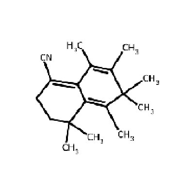 CC1=C(C)C(C)(C)C(C)=C2C1=C(C#N)CCC2(C)C